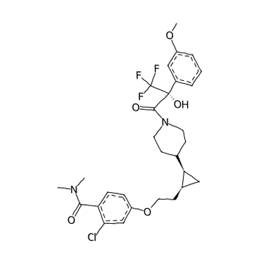 COc1cccc([C@@](O)(C(=O)N2CCC([C@H]3C[C@H]3CCOc3ccc(C(=O)N(C)C)c(Cl)c3)CC2)C(F)(F)F)c1